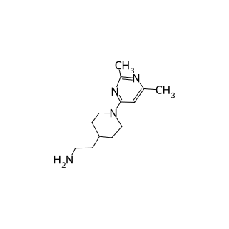 Cc1cc(N2CCC(CCN)CC2)nc(C)n1